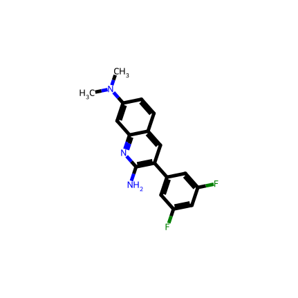 CN(C)c1ccc2cc(-c3cc(F)cc(F)c3)c(N)nc2c1